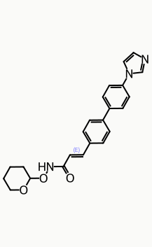 O=C(/C=C/c1ccc(-c2ccc(-n3ccnc3)cc2)cc1)NOC1CCCCO1